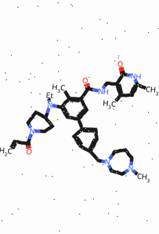 C=CC(=O)N1CCC(N(CC)c2cc(-c3ccc(CN4CCCN(C)CC4)cc3)cc(C(=O)NCc3c(C)cc(C)[nH]c3=O)c2C)CC1